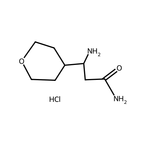 Cl.NC(=O)CC(N)C1CCOCC1